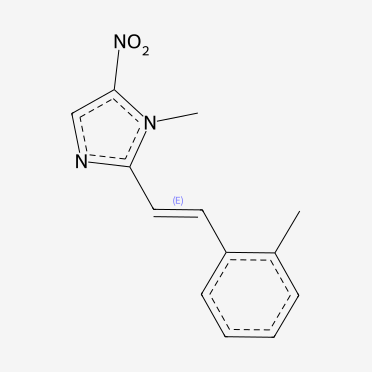 Cc1ccccc1/C=C/c1ncc([N+](=O)[O-])n1C